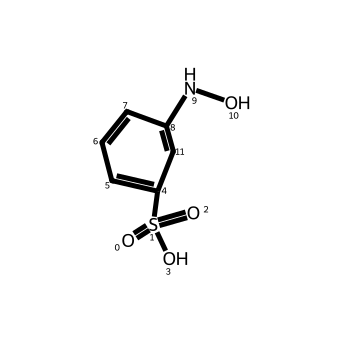 O=S(=O)(O)c1cccc(NO)c1